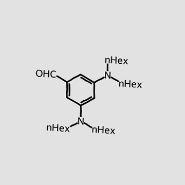 CCCCCCN(CCCCCC)c1cc(C=O)cc(N(CCCCCC)CCCCCC)c1